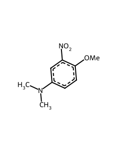 COc1ccc(N(C)C)cc1[N+](=O)[O-]